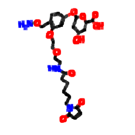 NOCc1ccc(OC2CC(O)CC(C(=O)O)O2)cc1OCCOCCNC(=O)CCCCCN1C(=O)C=CC1=O